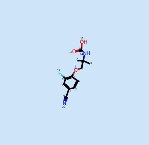 CC(C)(COc1ccc(C#N)cc1F)NC(=O)O